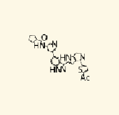 CC(=O)c1ccc(-c2nccc3[nH]c(-c4n[nH]c5ccc(-c6cncc(NC(=O)C7CCCC7)c6)cc45)cc23)s1